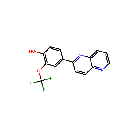 Oc1ccc(-c2ccc3ncccc3n2)cc1OC(F)(F)F